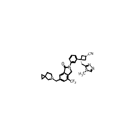 Cn1cnnc1C[C@]1(c2cccc(N3Cc4c(cc(CN5CCC6(CC6)C5)cc4C(F)(F)F)C3=O)c2)C[C@H](C#N)C1